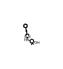 CC1(C)C[C@H](Nc2ncc(C#Cc3ccccc3)cn2)CC[C@H]1O